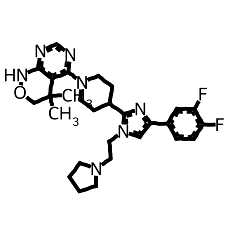 CC1(C)CONc2ncnc(N3CCC(c4nc(-c5ccc(F)c(F)c5)cn4CCN4CCCC4)CC3)c21